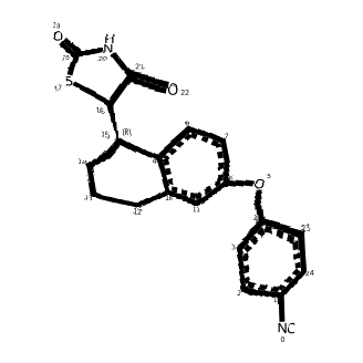 [C-]#[N+]c1ccc(Oc2ccc3c(c2)CCC[C@H]3C2SC(=O)NC2=O)cc1